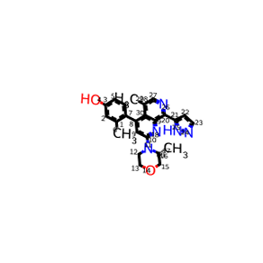 Cc1cc(O)ccc1-c1cc(N2CCOC[C@H]2C)nc2c(-c3ccn[nH]3)ncc(C)c12